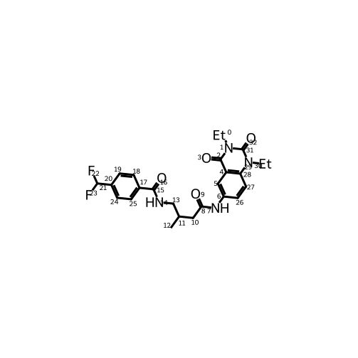 CCn1c(=O)c2cc(NC(=O)CC(C)CNC(=O)c3ccc(C(F)F)cc3)ccc2n(CC)c1=O